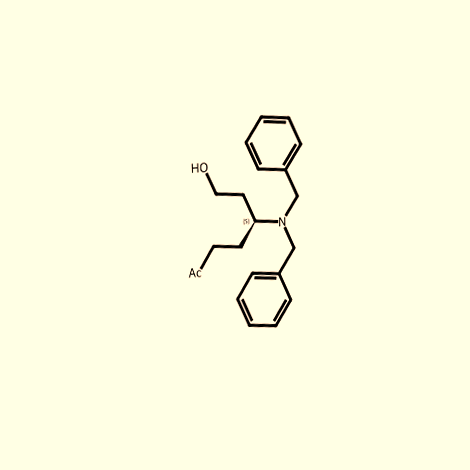 CC(=O)CC[C@@H](CCO)N(Cc1ccccc1)Cc1ccccc1